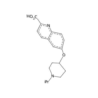 CC(C)N1CCC(Oc2ccc3nc(C(=O)O)ccc3c2)CC1